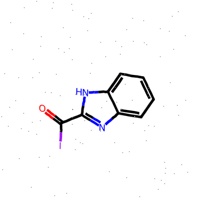 O=C(I)c1nc2ccccc2[nH]1